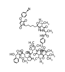 CC[C@H](C)[C@@H]([C@@H](CC(=O)N1CCC[C@H]1[C@H](OC)[C@@H](C)C(=O)N[C@H](C)[C@@H](O)c1ccccc1)OC)N(C)C(=O)[C@@H](NC(=O)[C@H](C(C)C)N(C)C(=O)OCc1ccc(NC(=O)[C@H](C)NC(=O)[C@@H](NC(=O)CCCCCN2C(=O)C=C(Oc3ccc(C#N)cc3)C2=O)C(C)C)cc1)C(C)C